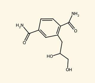 NC(=O)c1ccc(C(N)=O)c(CC(O)CO)c1